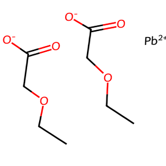 CCOCC(=O)[O-].CCOCC(=O)[O-].[Pb+2]